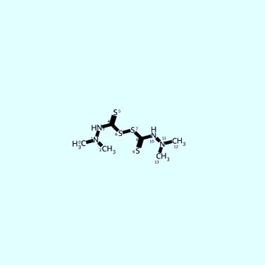 CN(C)NC(=S)SSC(=S)NN(C)C